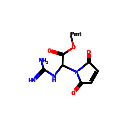 CCCC(C)OC(=O)C(NC(=N)N)N1C(=O)C=CC1=O